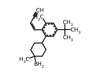 BC1(C)CCC(c2cc(C(C)(C)C)cc(C)c2/C=C\C#C)CC1